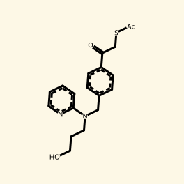 CC(=O)SCC(=O)c1ccc(CN(CCCO)c2ccccn2)cc1